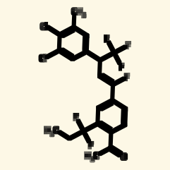 CCC(F)(F)c1cc(/C(F)=C/C(c2cc(C)c(Cl)c(Cl)c2)C(F)(F)F)ccc1C(C)=O